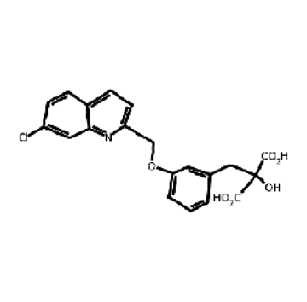 O=C(O)C(O)(Cc1cccc(OCc2ccc3ccc(Cl)cc3n2)c1)C(=O)O